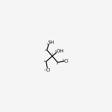 OC(CS)(CCl)CCl